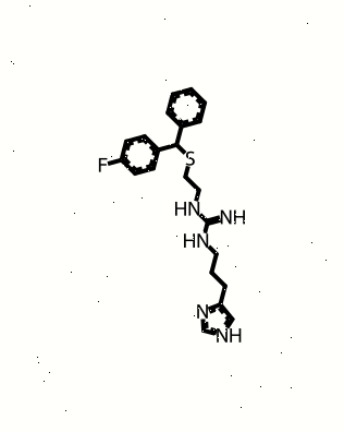 N=C(NCCCc1c[nH]cn1)NCCSC(c1ccccc1)c1ccc(F)cc1